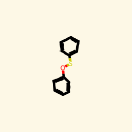 [c]1ccccc1SOc1ccccc1